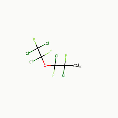 FC(Cl)(Cl)C(F)(Cl)OC(F)(Cl)C(F)(Cl)C(Cl)(Cl)Cl